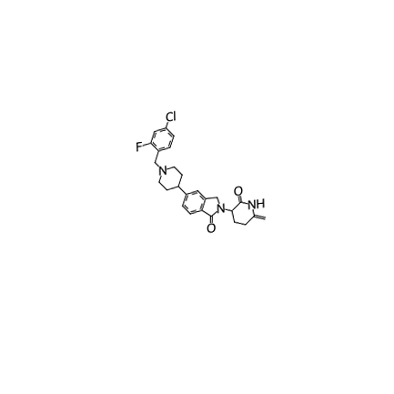 C=C1CCC(N2Cc3cc(C4CCN(Cc5ccc(Cl)cc5F)CC4)ccc3C2=O)C(=O)N1